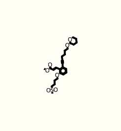 COC(=O)/C=C/c1c(C#CCCCCOC2CCCCO2)cccc1OCCCCS(C)(=O)=O